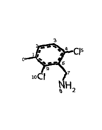 Cc1ccc(Cl)c(CN)c1Cl